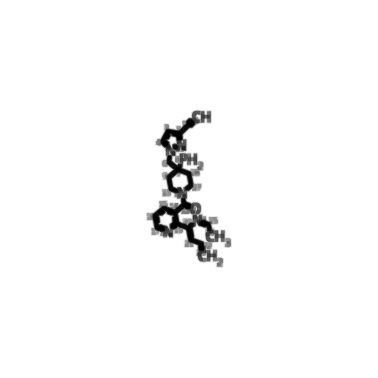 C#Cc1ccn(CC2(P)CCN(C(=O)c3cccnc3C(=C/C=C)/N=C\C)CC2)n1